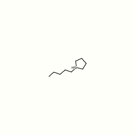 CCCCC[SiH]1CCCC1